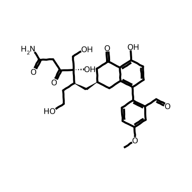 COc1ccc(-c2ccc(O)c3c2C[C@@H](C[C@@H](CCO)[C@](O)(CO)C(=O)CC(N)=O)CC3=O)c(C=O)c1